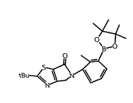 Cc1c(B2OC(C)(C)C(C)(C)O2)cccc1N1Cc2nc(C(C)(C)C)sc2C1=O